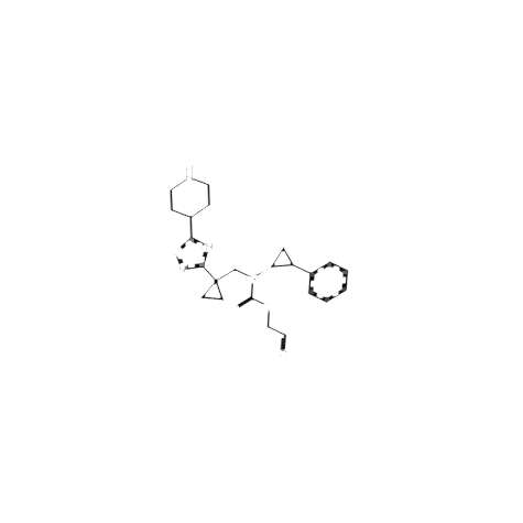 C=CCOC(=O)N(CC1(c2noc(C3CCNCC3)n2)CC1)[C@H]1CC1c1ccccc1